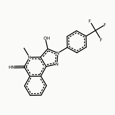 Cn1c(=N)c2ccccc2c2nn(-c3ccc(C(F)(F)F)cc3)c(O)c21